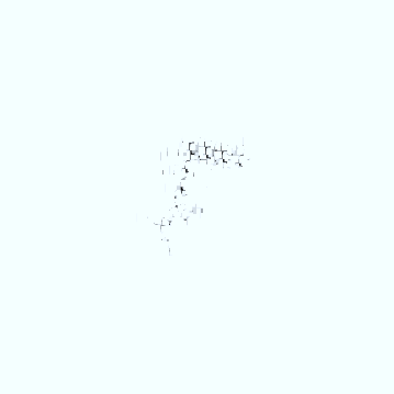 C=C(C)C(=O)O.C=C(C)C(=O)O.C=C(C)C(=O)O.C=C(C)C(=O)O.C=C(C)C(=O)O.C=C(C)C(=O)O.CCCOOCC(CO)(CO)COCC(CO)(CO)CO